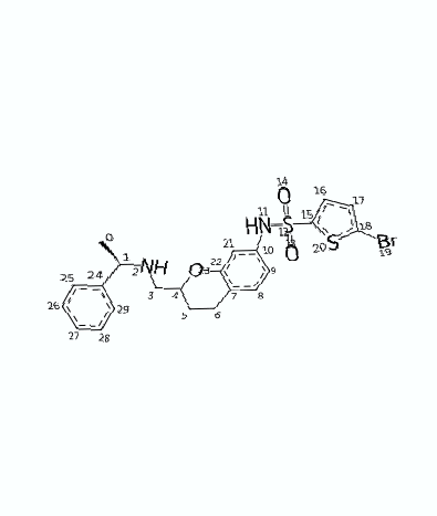 C[C@@H](NCC1CCc2ccc(NS(=O)(=O)c3ccc(Br)s3)cc2O1)c1ccccc1